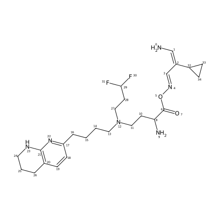 N/C=C(\C=N\OC(=O)C(N)CCN(CCCCc1ccc2c(n1)NCCC2)CCC(F)F)C1CC1